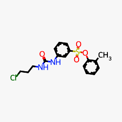 Cc1ccccc1OS(=O)(=O)c1cccc(NC(=O)NCCCCl)c1